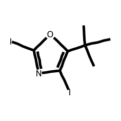 CC(C)(C)c1oc(I)nc1I